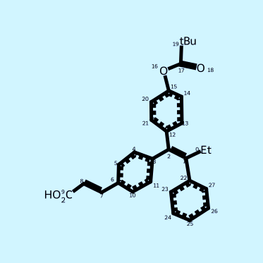 CC/C(=C(/c1ccc(/C=C/C(=O)O)cc1)c1ccc(OC(=O)C(C)(C)C)cc1)c1ccccc1